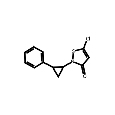 O=c1cc(Cl)sn1C1CC1c1ccccc1